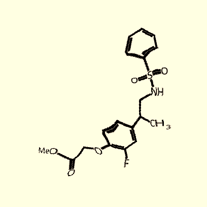 COC(=O)COc1ccc(C(C)CNS(=O)(=O)c2ccccc2)cc1F